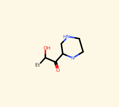 CCC(O)C(=O)C1CNCC[N]1